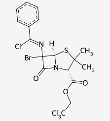 CC1(C)S[C@H]2N(C(=O)C2(Br)/N=C(\Cl)c2ccccc2)[C@H]1C(=O)OCC(Cl)(Cl)Cl